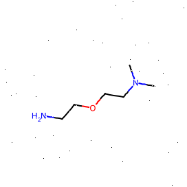 CN(C)CCOCCN